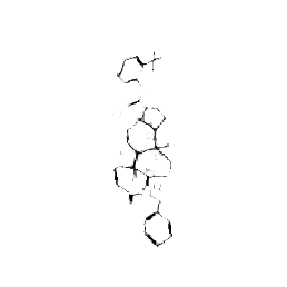 C[C@]12C=CC(=O)N(Cc3ccccc3)[C@@H]1CC[C@@H]1[C@@H]2CC[C@]2(C)[C@@H](C(=O)Nc3ccccc3C(F)(F)F)CC[C@@H]12